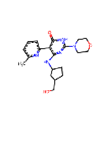 Cc1cccc(-c2c(NC3CCC(CO)C3)nc(N3CCOCC3)[nH]c2=O)n1